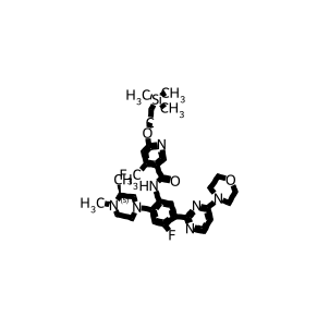 C[C@H]1CN(c2cc(F)c(-c3nccc(N4CCOCC4)n3)cc2NC(=O)c2cnc(OCC[Si](C)(C)C)cc2C(F)(F)F)CCN1C